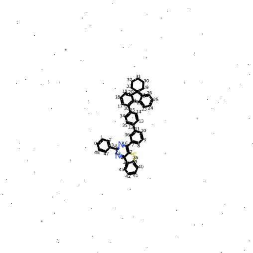 c1ccc(-c2nc(-c3cccc(-c4ccc(-c5cccc6c5-c5ccccc5C65CCCCC5)cc4)c3)c3sc4ccccc4c3n2)cc1